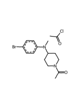 CC(=O)Cl.CC(=O)N1CCC(N(C)c2ccc(Br)cc2)CC1